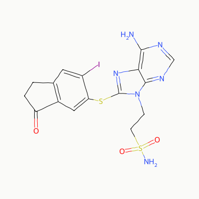 Nc1ncnc2c1nc(Sc1cc3c(cc1I)CCC3=O)n2CCS(N)(=O)=O